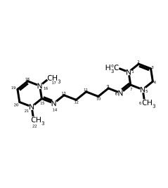 CN1C=CCN(C)C1=NCCCCCN=C1N(C)C=CCN1C